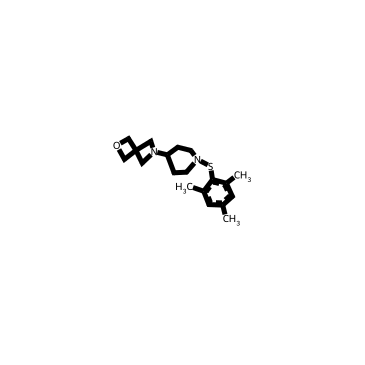 Cc1cc(C)c(SN2CCC(N3CC4(COC4)C3)CC2)c(C)c1